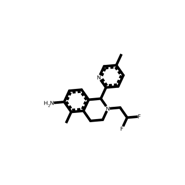 Cc1ccc(C2c3ccc(N)c(C)c3CCN2CC(F)F)nc1